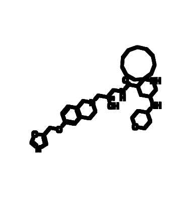 O=C(NC[C@H](O)CN1CCc2cc(OCc3cnco3)ccc2C1)C1CC(NC2CCOCC2)CNC12CCCCCCCCCC2